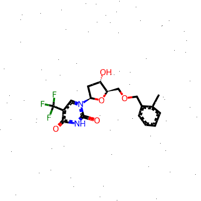 Cc1ccccc1COC[C@H]1O[C@@H](n2cc(C(F)(F)F)c(=O)[nH]c2=O)C[C@@H]1O